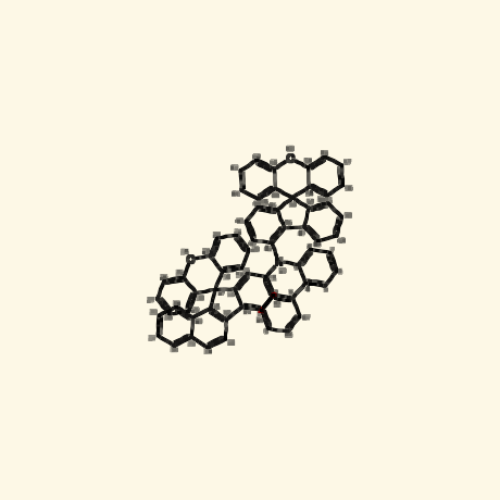 c1ccc(-c2ccccc2N(c2ccc3c(c2)C2(c4ccccc4Oc4ccccc42)c2c-3ccc3ccccc23)c2cccc3c2-c2ccccc2C32c3ccccc3Oc3ccccc32)cc1